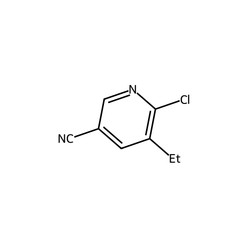 CCc1cc(C#N)cnc1Cl